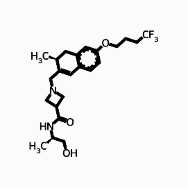 C[C@H](CO)NC(=O)C1CN(CC2=Cc3ccc(OCCCC(F)(F)F)cc3C[C@@H]2C)C1